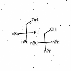 CCCCC(CC)(CO)CCC.CCCCC(CO)(CCC)CCC